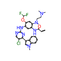 C=CC(=O)Nc1cc(Nc2ncc(Cl)c(-c3cn(C)c4ccccc34)n2)c(OC(F)F)cc1N(C)CCN(C)C